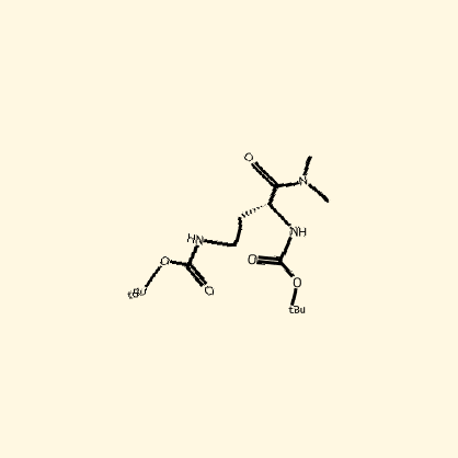 CN(C)C(=O)[C@@H](CCNC(=O)OC(C)(C)C)NC(=O)OC(C)(C)C